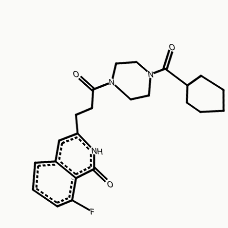 O=C(CCc1cc2cccc(F)c2c(=O)[nH]1)N1CCN(C(=O)C2CCCCC2)CC1